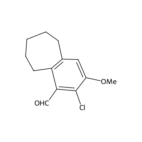 COc1cc2c(c(C=O)c1Cl)CCCCC2